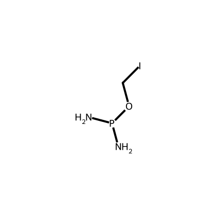 NP(N)OCI